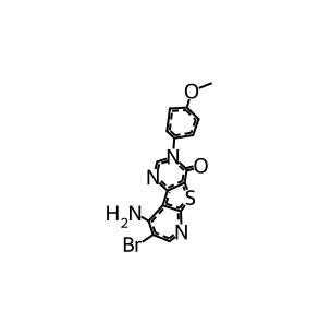 COc1ccc(-n2cnc3c(sc4ncc(Br)c(N)c43)c2=O)cc1